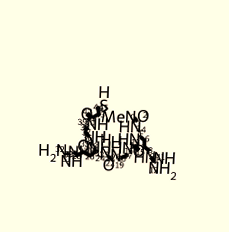 CNC(=O)NC[C@H](CCCNC(=N)N)NC(=O)NC[C@H](C)NC(=O)NC[C@H](CCCNC(=N)N)NC(=O)NC[C@H](C)NC(=O)CCS